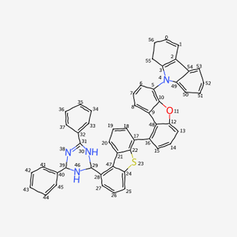 C1=Cc2c(n(-c3cccc4c3oc3cccc(-c5cccc6c5sc5cccc(C7NC(c8ccccc8)=NC(c8ccccc8)N7)c56)c34)c3ccccc23)CC1